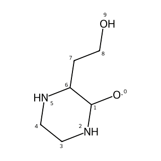 [O]C1NCCNC1CCO